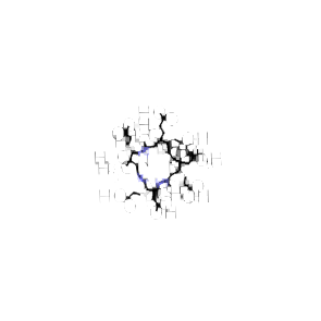 C/C1=C2N=C(/C=C3\N/C(=C(/C)C4=N[C@@](C)([C@@H]5N=C1[C@](C)(CCC(=O)O)[C@H]5CC(=O)O)[C@@](C)(CC(=O)O)[C@@H]4CCC(=O)O)[C@@](C)(CC(=O)O)[C@@H]3CCC(=O)O)C(C)(C)[C@@H]/2CCC(=O)O